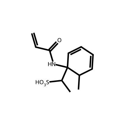 C=CC(=O)NC1(C(C)S(=O)(=O)O)C=CC=CC1C